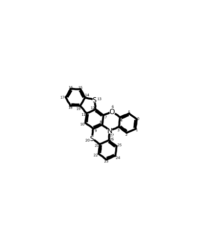 c1ccc2c(c1)Oc1c3c(cc4c1sc1ccccc14)Sc1ccccc1N23